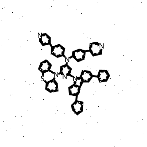 c1ccc(-c2ccc3c(c2)c2cc(-c4ccccc4)ccc2n3-c2cc(N(c3ccc(-c4ccncc4)cc3)c3ccc(-c4ccncc4)cc3)cc(N3c4ccccc4Sc4ccccc43)n2)cc1